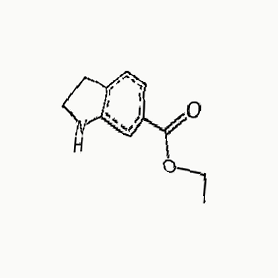 CCOC(=O)c1ccc2c(c1)NCC2